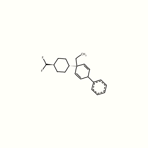 CCC1([C@H]2CC[C@H](C(F)F)CC2)C=CC(c2ccccc2)C=C1